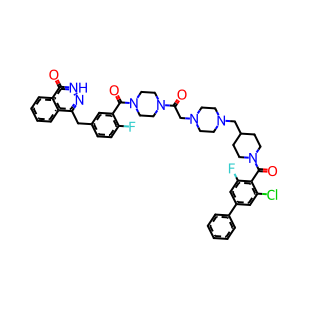 O=C(CN1CCN(CC2CCN(C(=O)c3c(F)cc(-c4ccccc4)cc3Cl)CC2)CC1)N1CCN(C(=O)c2cc(Cc3n[nH]c(=O)c4ccccc34)ccc2F)CC1